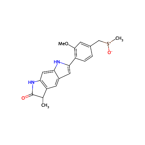 COc1cc(C[S+](C)[O-])ccc1-c1cc2cc3c(cc2[nH]1)NC(=O)C3C